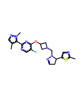 Cc1ncc(C2CC=NN2CN2CC(Oc3nc(-c4c(C)cnn4C)ncc3F)C2)s1